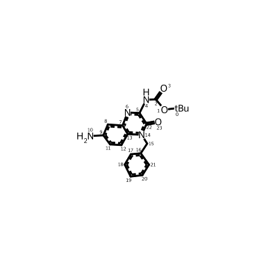 CC(C)(C)OC(=O)Nc1nc2cc(N)ccc2n(Cc2ccccc2)c1=O